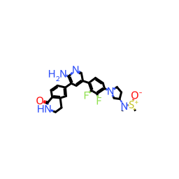 CN([C@@H]1CCN(c2ccc(-c3cnc(N)c(-c4ccc5c(c4)CCNC5=O)c3)c(F)c2F)C1)[S+](C)[O-]